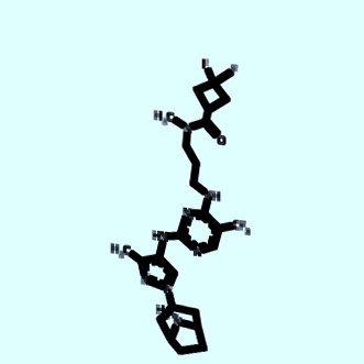 Cc1nn(C2CC3CCC(C2)N3C)cc1Nc1ncc(C(F)(F)F)c(NCCCN(C)C(=O)C2CC(F)(F)C2)n1